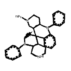 CCCN1CCC2C(C1)C1(c3ccccc3B(c3ccccc3)C3CNCCC31)c1ccccc1N2c1ccccc1